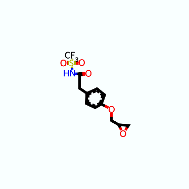 O=C(Cc1ccc(OCC2CO2)cc1)NS(=O)(=O)C(F)(F)F